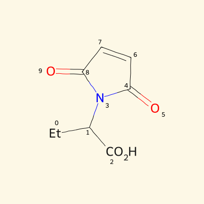 CCC(C(=O)O)N1C(=O)C=CC1=O